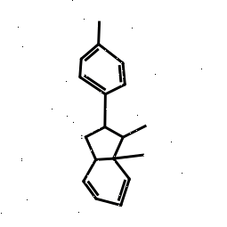 Cc1ccc(C2[C]C3C=CC=CC3(C)C2C)cc1